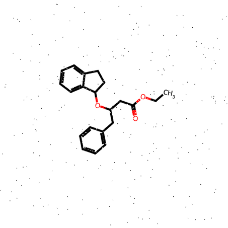 CCOC(=O)CC(Cc1ccccc1)OC1CCc2ccccc21